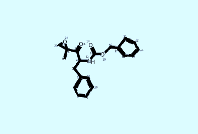 CC1(C(=O)C(Cc2ccccc2)NC(=O)OCc2ccccc2)CO1